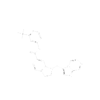 O=C(Nc1cccc(C(F)(F)F)c1)c1ccc2c(c1)N(Cc1cnc3cnccn13)CC2